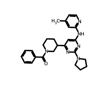 Cc1ccnc(Nc2cc(C3CCCN(C(=O)c4ccccc4)C3)nc(N3CCCC3)n2)c1